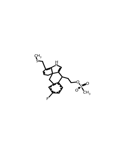 CSCC1=C2NC=C3C(CCOS(C)(=O)=O)c4ccc(F)cc4CC32CC=C1